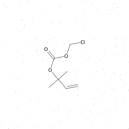 C=CC(C)(C)OC(=O)OCCl